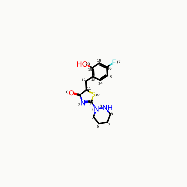 O=C1N=C(N2CCCCN2)SC1Cc1ccc(F)cc1O